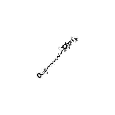 CC(C)(C)OC(=O)NCc1nc2cc(Cl)c(NCCOCCOCCOCCOCCNC(=O)OCc3ccccc3)cc2[nH]1